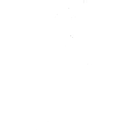 Cc1ccc(Oc2ccc(C3CCN(C(=O)OC(C)(C)C)CCS3(=O)=O)cc2)cc1